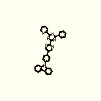 c1ccc(-c2nc(-c3ccccn3)nc(-c3ncc(-c4ccc(-n5c6ccccc6c6ccccc65)cc4)cn3)n2)cc1